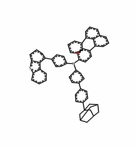 c1ccc(-c2cccc3cccc(-c4ccc(N(c5ccc(-c6ccc(C78CC9CC(CC(C9)C7)C8)cc6)cc5)c5ccc(-c6cccc7sc8ccccc8c67)cc5)cc4)c23)cc1